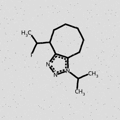 CC(I)C1CCCCCc2c1nnn2C(C)C